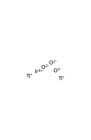 [Ir+4].[O-2].[O-2].[O-2].[Tl+].[Tl+]